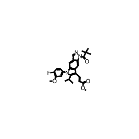 COC(=O)/C=C/c1c(C(C)C)n(-c2ccc(F)c(OC)c2)c2cc3cnn(C(=O)C(C)(C)C)c3cc12